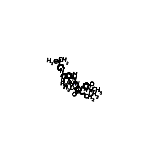 C=CCn1c(=O)c(C)c(/N=C(\N=C)Nc2ccc3c(N4CCC(N(C)C)CC4)c[nH]c3c2)n1-c1ccc(=O)n(C(C)C)n1